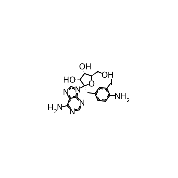 Nc1ccc(C[C@@]2(n3cnc4c(N)ncnc43)O[C@H](CO)[C@@H](O)[C@H]2O)cc1I